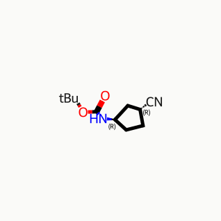 CC(C)(C)OC(=O)N[C@@H]1CC[C@@H](C#N)C1